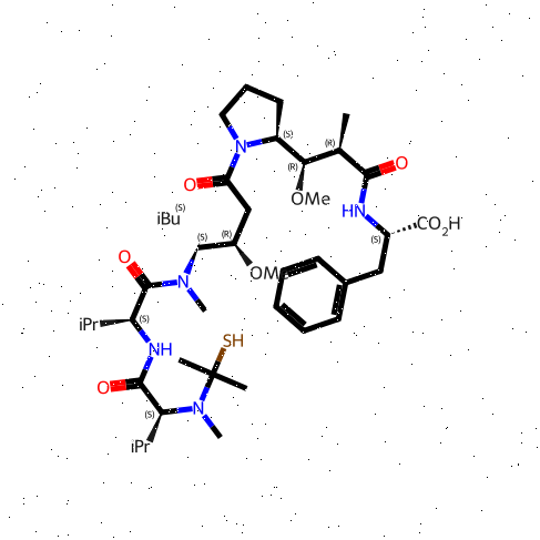 CC[C@H](C)[C@@H]([C@@H](CC(=O)N1CCC[C@H]1[C@H](OC)[C@@H](C)C(=O)N[C@@H](Cc1ccccc1)C(=O)O)OC)N(C)C(=O)[C@@H](NC(=O)[C@H](C(C)C)N(C)C(C)(C)S)C(C)C